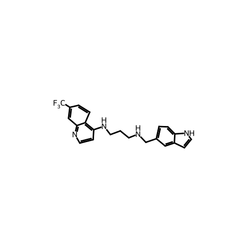 FC(F)(F)c1ccc2c(NCCCNCc3ccc4[nH]ccc4c3)ccnc2c1